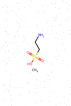 C.NCCS(=O)(=O)O